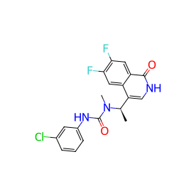 C[C@H](c1c[nH]c(=O)c2cc(F)c(F)cc12)N(C)C(=O)Nc1cccc(Cl)c1